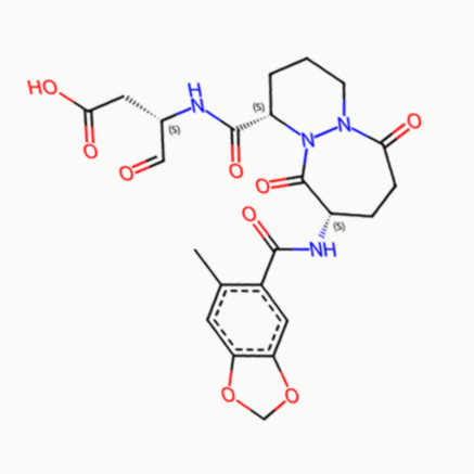 Cc1cc2c(cc1C(=O)N[C@H]1CCC(=O)N3CCC[C@@H](C(=O)N[C@H](C=O)CC(=O)O)N3C1=O)OCO2